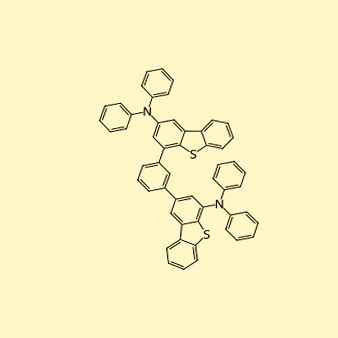 c1ccc(N(c2ccccc2)c2cc(-c3cccc(-c4cc(N(c5ccccc5)c5ccccc5)c5sc6ccccc6c5c4)c3)c3sc4ccccc4c3c2)cc1